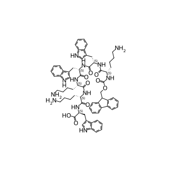 NCCCC[C@H](NC(=O)OCC1c2ccccc2-c2ccccc21)C(=O)N[C@@H](Cc1c[nH]c2ccccc12)C(=O)N[C@@H](Cc1c[nH]c2ccccc12)C(=O)N[C@@H](CCCCN)C(=O)N[C@@H](CCCCN)C(=O)N[C@@H](Cc1c[nH]c2ccccc12)C(=O)O